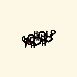 CC(C)OC[C@]12CCC3(CO3)C[C@H]1CC[C@@H]1[C@@H]2CC[C@]2(C)C(=O)CC[C@@H]12